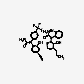 CCCc1cccc(N(C(N)=O)c2ccccc2Br)c1O.N#Cc1ccc(N(C(N)=O)c2ccc(C(F)(F)F)cc2)c(O)c1